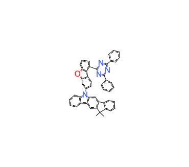 CC1(C)c2ccccc2-c2cc3c(cc21)c1ccccc1n3-c1ccc2c(c1)oc1cccc(-c3nc(-c4ccccc4)nc(-c4ccccc4)n3)c12